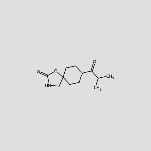 CC(C)C(=O)N1CCC2(CC1)CNC(=O)O2